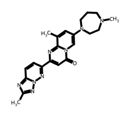 Cc1nc2ccc(-c3cc(=O)n4cc(N5CCCN(C)CC5)cc(C)c4n3)nn2n1